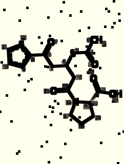 CC(=O)SC(CC(=O)c1cccs1)CC(=O)N1CCC[C@H]1C(=O)O